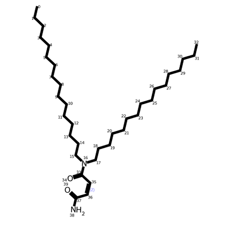 CCCCCCCCCCCCCCCCN(CCCCCCCCCCCCCCCC)C(=O)/C=C\C(N)=O